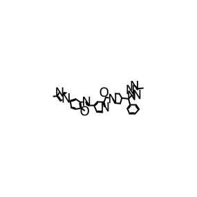 Cc1cn(-c2ccc3oc(-c4ccnc(C(=O)N5CCC(C(c6ccccc6)n6nnc(C)n6)CC5)c4)nc3c2)cn1